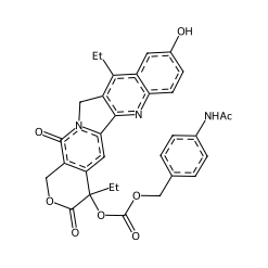 CCc1c2c(nc3ccc(O)cc13)-c1cc3c(c(=O)n1C2)COC(=O)C3(CC)OC(=O)OCc1ccc(NC(C)=O)cc1